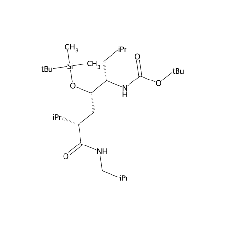 CC(C)CNC(=O)[C@@H](C[C@H](O[Si](C)(C)C(C)(C)C)[C@H](CC(C)C)NC(=O)OC(C)(C)C)C(C)C